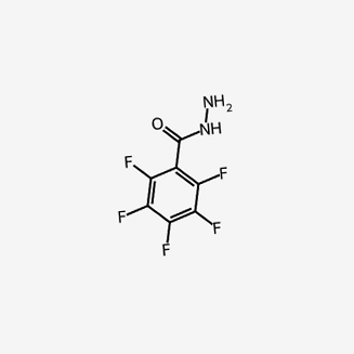 NNC(=O)c1c(F)c(F)c(F)c(F)c1F